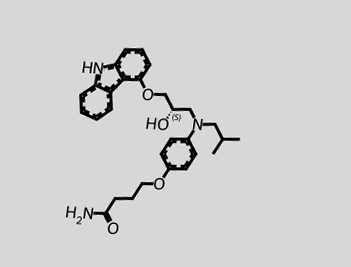 CC(C)CN(C[C@H](O)COc1cccc2[nH]c3ccccc3c12)c1ccc(OCCCC(N)=O)cc1